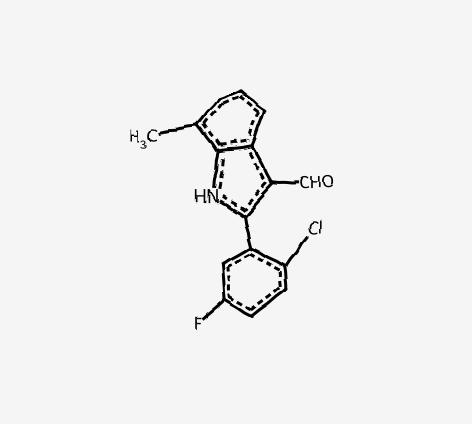 Cc1cccc2c(C=O)c(-c3cc(F)ccc3Cl)[nH]c12